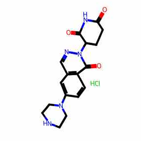 Cl.O=C1CCC(n2ncc3cc(N4CCNCC4)ccc3c2=O)C(=O)N1